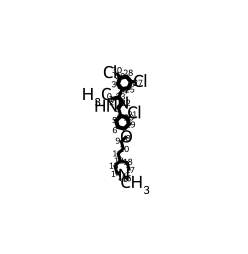 Cc1[nH]c(-c2ccc(OCCCC3CCN(C)CC3)cc2Cl)nc1-c1cc(Cl)cc(Cl)c1